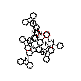 c1ccc(-c2nc(-c3ccccc3)nc(-c3cccc(-n4c5ccc(-n6c7ccccc7c7ccccc76)cc5c5cc(-n6c7ccccc7c7ccccc76)ccc54)c3-c3cccc(-c4c(-c5nc(-c6ccccc6)nc(-c6ccccc6)n5)cccc4-n4c5ccc(-n6c7ccccc7c7ccccc76)cc5c5cc(-n6c7ccccc7c7ccccc76)ccc54)c3)n2)cc1